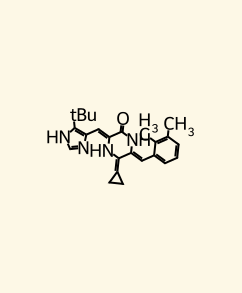 Cc1cccc(/C=C2\NC(=O)/C(=C/c3nc[nH]c3C(C)(C)C)NC2=C2CC2)c1C